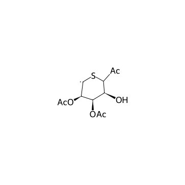 CC(=O)O[C@H]1[C@@H](OC(C)=O)[CH]SC(C(C)=O)[C@H]1O